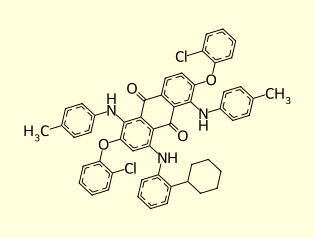 Cc1ccc(Nc2c(Oc3ccccc3Cl)ccc3c2C(=O)c2c(Nc4ccccc4C4CCCCC4)cc(Oc4ccccc4Cl)c(Nc4ccc(C)cc4)c2C3=O)cc1